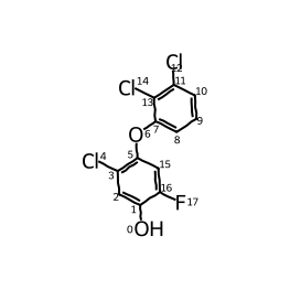 Oc1cc(Cl)c(Oc2cccc(Cl)c2Cl)cc1F